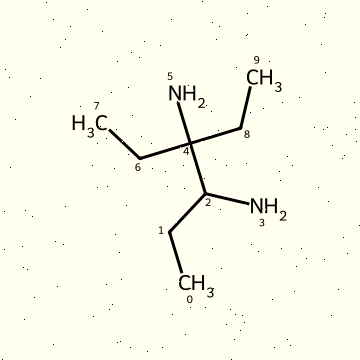 CCC(N)C(N)(CC)CC